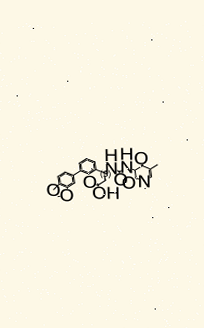 CC1=CN(C)C(=O)C(NC(=O)N[C@@H](CC(=O)O)c2cccc(-c3ccc4c(c3)OCO4)c2)C1=O